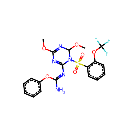 COC1=NC(OC)N(S(=O)(=O)c2ccccc2OC(F)(F)F)C(N=C(N)Oc2ccccc2)=N1